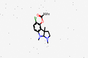 CNC(=O)Oc1c(Br)ccc2c1C1(C)CCN(C)C1N2C